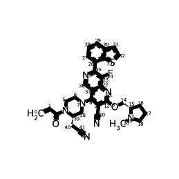 C=CC(=O)N1CCN(c2c(C#N)c(OC[C@@H]3CCCN3C)nc3c(F)c(-c4cccc5ccsc45)ncc23)C[C@@H]1CC#N